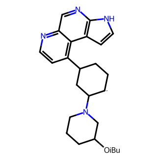 CC(C)COC1CCCN(C2[CH]CCC(c3ccnc4cnc5[nH]ccc5c34)C2)C1